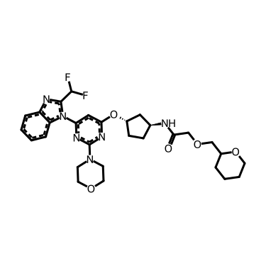 O=C(COCC1CCCCO1)N[C@H]1CC[C@H](Oc2cc(-n3c(C(F)F)nc4ccccc43)nc(N3CCOCC3)n2)C1